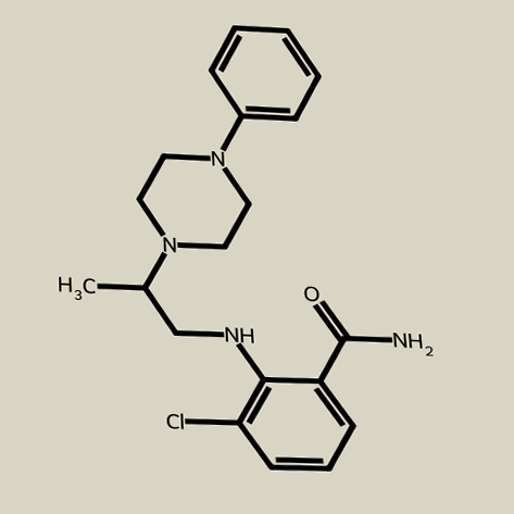 CC(CNc1c(Cl)cccc1C(N)=O)N1CCN(c2ccccc2)CC1